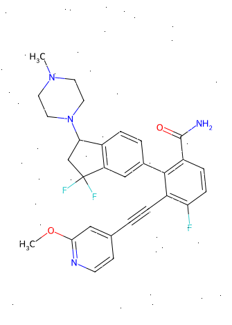 COc1cc(C#Cc2c(F)ccc(C(N)=O)c2-c2ccc3c(c2)C(F)(F)CC3N2CCN(C)CC2)ccn1